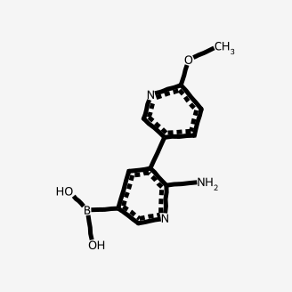 COc1ccc(-c2cc(B(O)O)cnc2N)cn1